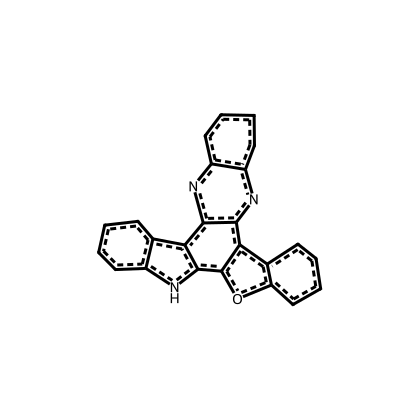 c1ccc2nc3c(nc2c1)c1c2ccccc2[nH]c1c1oc2ccccc2c31